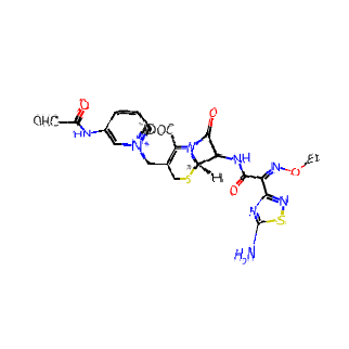 CCON=C(C(=O)NC1C(=O)N2C(C(=O)[O-])=C(C[n+]3cccc(NC(=O)C=O)c3)CS[C@@H]12)c1nsc(N)n1